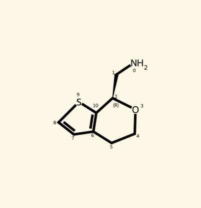 NC[C@H]1OCCc2ccsc21